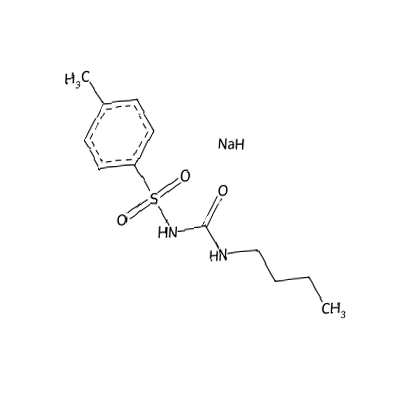 CCCCNC(=O)NS(=O)(=O)c1ccc(C)cc1.[NaH]